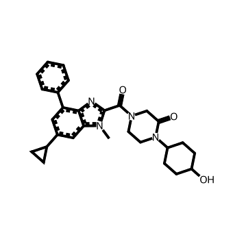 Cn1c(C(=O)N2CCN(C3CCC(O)CC3)C(=O)C2)nc2c(-c3ccccc3)cc(C3CC3)cc21